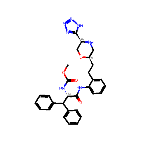 COC(=O)N[C@H](C(=O)Nc1ccccc1CC[C@@H]1CN[C@H](c2nnn[nH]2)CO1)C(c1ccccc1)c1ccccc1